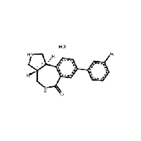 CC(=O)c1cccc(-c2ccc3c(c2)C(=O)NC[C@@H]2CNC[C@@H]32)c1.Cl